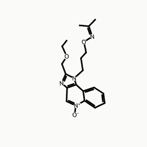 CCOCc1nc2c[n+]([O-])c3ccccc3c2n1CCCON=C(C)C